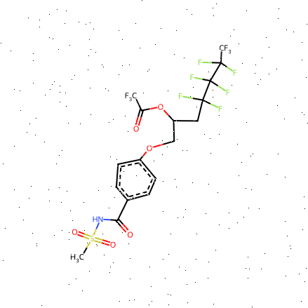 CS(=O)(=O)NC(=O)c1ccc(OCC(CC(F)(F)C(F)(F)C(F)(F)C(F)(F)F)OC(=O)C(F)(F)F)cc1